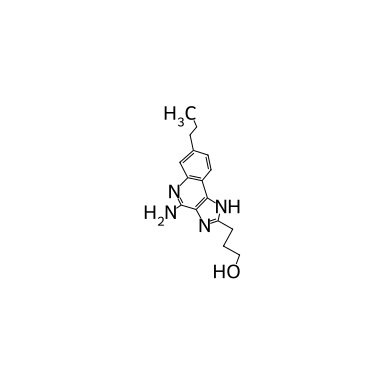 CCCc1ccc2c(c1)nc(N)c1nc(CCCO)[nH]c12